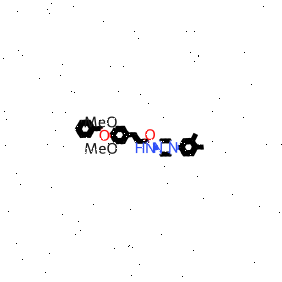 COc1cc(C=CC(=O)NN2CCN(c3ccc(C)c(C)c3)CC2)cc(OC)c1OCc1ccccc1